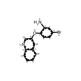 Nc1cc(Br)ccc1Oc1cnc2ccccc2c1